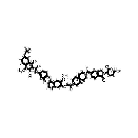 COc1cc2c(Oc3ccc(NC(=O)c4c(C)n(C)c5ccc(OC(F)(F)F)cc5c4=O)cc3F)ncnc2cc1OCC(=O)N1CCC2(CC1)CCN(C(=O)c1ccc3c(c1)CN(C1CCC(=O)NC1=O)C3=O)CC2